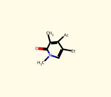 CCc1cn(C)c(=O)c(C)c1C(C)=O